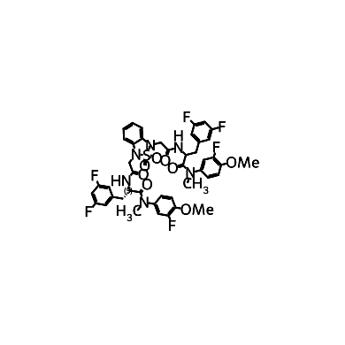 COc1ccc(N(C)C(=O)C(Cc2cc(F)cc(F)c2)NC(=O)CN2c3ccccc3N(CC(=O)N[C@@H](Cc3cc(F)cc(F)c3)C(=O)N(C)c3ccc(OC)c(F)c3)S2(=O)=O)cc1F